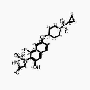 O=C1CN(c2c(O)cc3ccc(OC4CCN(S(=O)(=O)C5CC5)CC4)cc3c2F)S(=O)(=O)N1